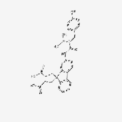 CN(C)[C@@H](Cc1ccc(O)cc1)C(=O)Nc1ccc2c(c1)C(CCC(=O)O)(CCC(=O)O)c1ccccc1-2